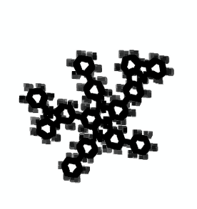 c1ccc(-c2ccc(N3c4ccc(-c5ccccc5)cc4B4c5ccc(-c6ccc7c(c6)c6cccc8c9ccccc9n7c86)cc5N(c5ccc(-c6ccccc6)cc5)c5cc(-c6ccc7c(c6)c6ccccc6n7-c6ccccc6)cc3c54)cc2)cc1